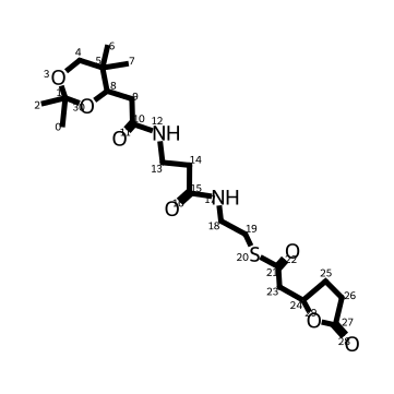 CC1(C)OCC(C)(C)C(CC(=O)NCCC(=O)NCCSC(=O)CC2CCC(=O)O2)O1